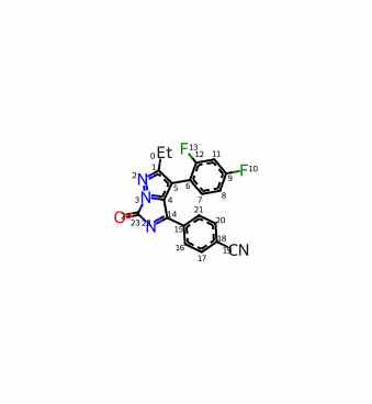 CCc1nn2c(c1-c1ccc(F)cc1F)C(c1ccc(C#N)cc1)=NC2=O